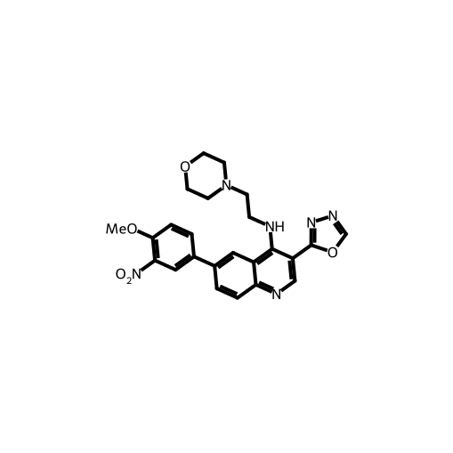 COc1ccc(-c2ccc3ncc(-c4nnco4)c(NCCN4CCOCC4)c3c2)cc1[N+](=O)[O-]